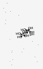 O[Si](O)(O)O.O[Si](O)(O)O.[Tm]